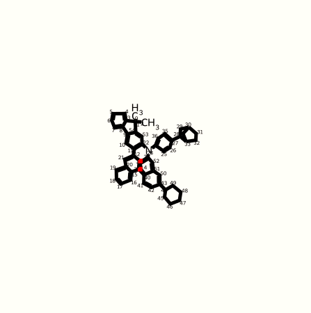 CC1(C)c2ccccc2-c2cc(-c3ccc4ccccc4c3)c(N(c3ccc(C4CC5CCC4C5)cc3)c3ccc4ccc(C5CCCCC5)cc4c3)cc21